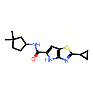 CC1(C)CCC(NC(=O)c2cc3sc(C4CC4)nc3[nH]2)C1